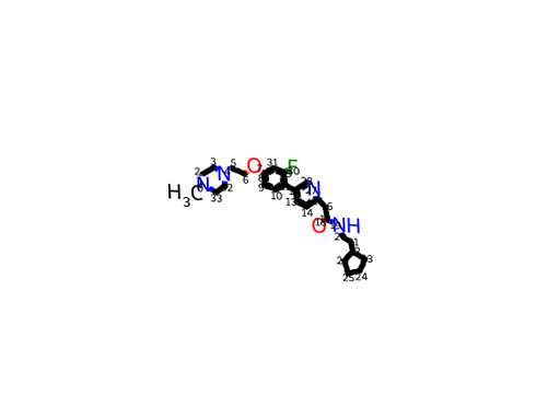 CN1CCN(CCOc2ccc(-c3ccc(CC(=O)NCCC4CCCC4)nc3)c(F)c2)CC1